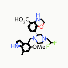 COc1cc(C)c2[nH]ccc2c1CN1CCN(CC(F)F)C[C@H]1c1ccc(C(=O)O)c2c1OCCN2